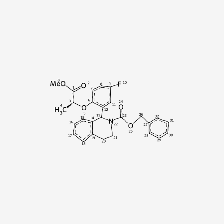 COC(=O)[C@H](C)Oc1ccc(F)cc1C1c2ccccc2CCN1C(=O)OCc1ccccc1